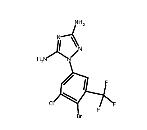 Nc1nc(N)n(-c2cc(Cl)c(Br)c(C(F)(F)F)c2)n1